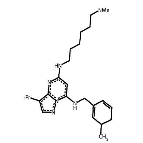 CNCCCCCCNc1cc(NCC2=CC(C)CC=C2)n2ncc(C(C)C)c2n1